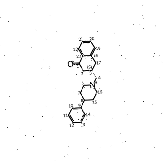 O=C1C[C@@H](CN2CCC(c3ccccc3)CC2)Cc2ccccc21